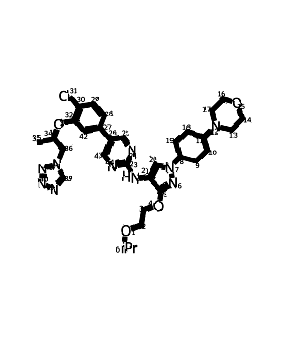 CC(C)OCCOc1nn(C2CCC(N3CCOCC3)CC2)cc1Nc1ncc(-c2ccc(Cl)c(OC(C)Cn3cnnn3)c2)cn1